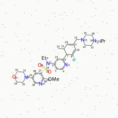 CCN(c1ccnc(C2C(F)=CC(CN3CCN(C(C)C)CC3)=CC2C)c1)S(=O)(=O)c1cc(N2CCOCC2)cnc1OC